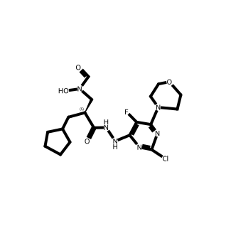 O=CN(O)C[C@H](CC1CCCC1)C(=O)NNc1nc(Cl)nc(N2CCOCC2)c1F